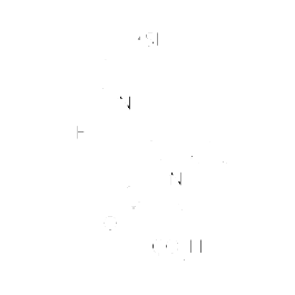 O=C(O)c1cn(C2CC2)c2cc(N3CCC(S)C3)c(F)cc2c1=O